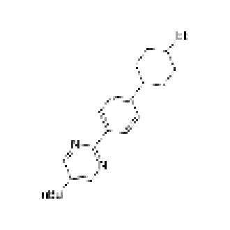 CCCCc1cnc(-c2ccc(C3CCC(CC)CC3)cc2)nc1